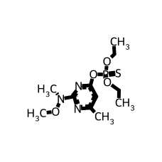 CCOP(=S)(OCC)Oc1cc(C)nc(N(C)OC)n1